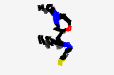 C[C@H](N=C=S)[C@H]1CN(C)CCO1